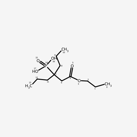 CCCOC(=O)CC(CCC)(CCC)P(=O)(O)O